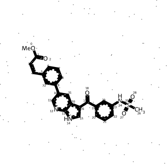 COC(=O)/C=C\c1cccc(-c2cnc3[nH]cc(C(=O)c4cccc(NS(C)(=O)=O)c4)c3c2)c1